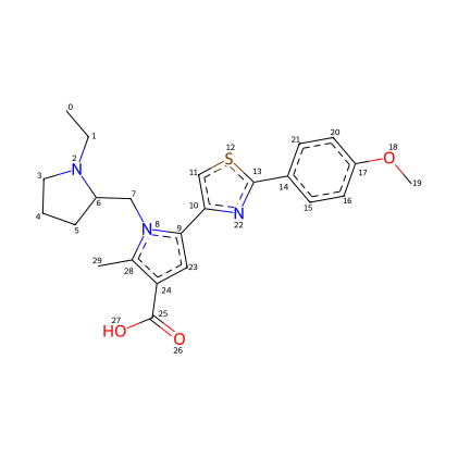 CCN1CCCC1Cn1c(-c2csc(-c3ccc(OC)cc3)n2)cc(C(=O)O)c1C